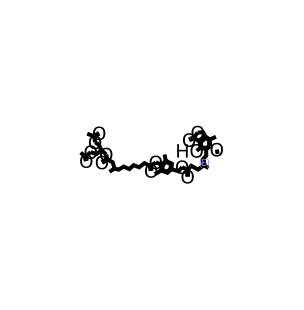 COc1c(C)c2c(c(O)c1C/C=C(\C)CCC(=O)OCc1cc(C)c(OC(=O)CCCCCCC(C)CC(=O)OC(COC(C)=O)COC(C)=O)c(C)c1)C(=O)OC2